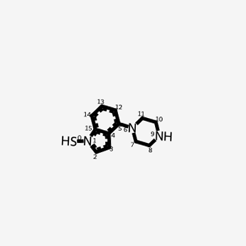 Sn1ccc2c(N3CCNCC3)cccc21